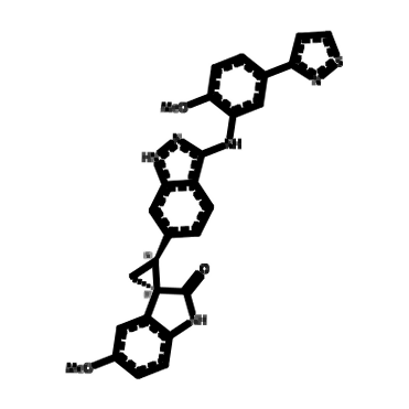 COc1ccc2c(c1)[C@]1(C[C@H]1c1ccc3c(Nc4cc(-c5ccsn5)ccc4OC)n[nH]c3c1)C(=O)N2